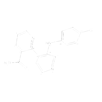 NC(=O)c1cccnc1-c1ccncc1Nc1ccc(Cl)cc1